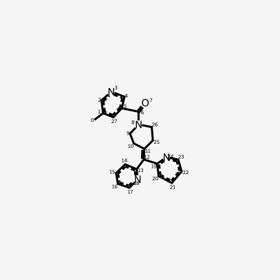 Cc1cncc(C(=O)N2CCC(=C(c3ccccn3)c3ccccn3)CC2)c1